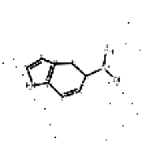 OB(O)C1C=Cc2[nH]ccc2C1